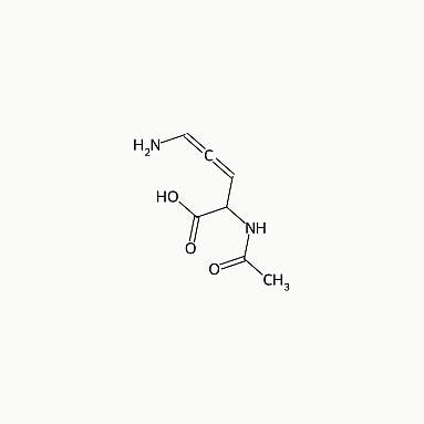 CC(=O)NC(C=C=CN)C(=O)O